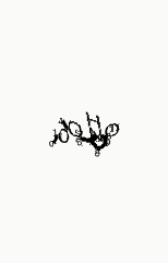 CCOC(C)OCC1CCC(=O)N1